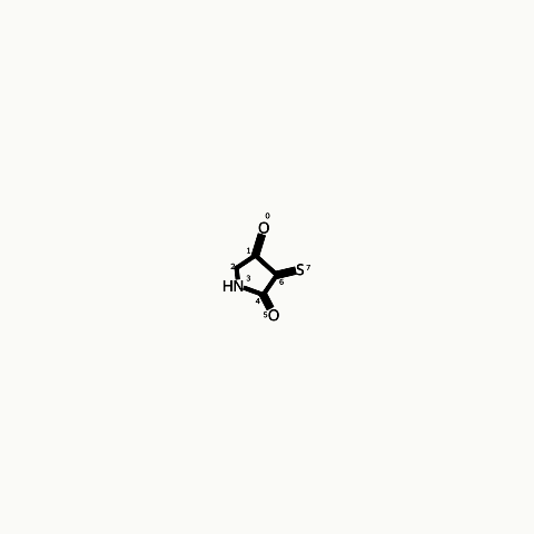 O=C1CNC(=O)C1=S